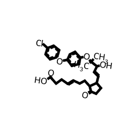 CC(C)(Oc1ccc(Oc2ccc(Cl)cc2)cc1)C(O)C=CC1CCC(=O)C1CCC=CCCC(=O)O